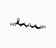 O=C(O)C=CCOCC=CO